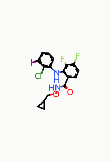 O=C(NOCC1CC1)c1ccc(F)c(F)c1Nc1cccc(I)c1Cl